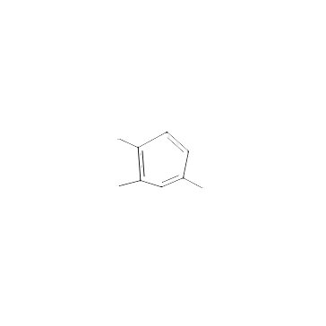 Clc1cc[c]([Sn])cc1Cl